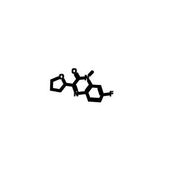 Cn1c(=O)c(C2CCCO2)nc2ccc(F)cc21